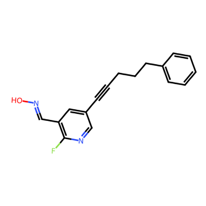 ON=Cc1cc(C#CCCCc2ccccc2)cnc1F